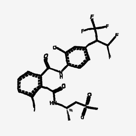 C[C@@H](CS(C)(=O)=O)NC(=O)c1c(I)cccc1C(=O)Nc1ccc(C(C(F)F)C(F)(F)F)cc1Cl